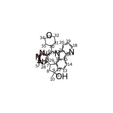 Cc1nnn(C)c1C1CC(C)(O)c2ccc3c4ncccc4n(C(c4ccccc4)C4CCOCC4)c3c21